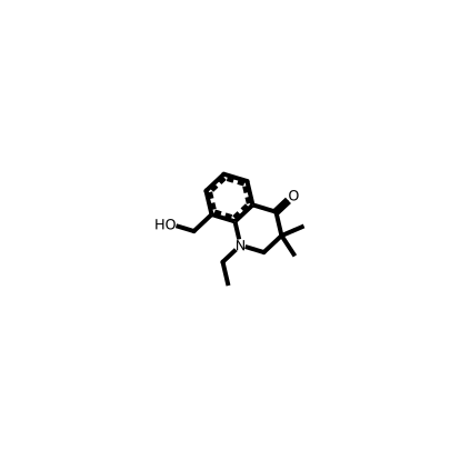 CCN1CC(C)(C)C(=O)c2cccc(CO)c21